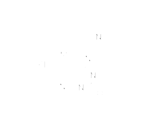 Cc1nc2c3c(nc(=O)n2C)N2CCN(C)CC2COc3c1Cl